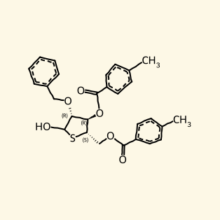 Cc1ccc(C(=O)OC[C@@H]2SC(O)[C@H](OCc3ccccc3)[C@H]2OC(=O)c2ccc(C)cc2)cc1